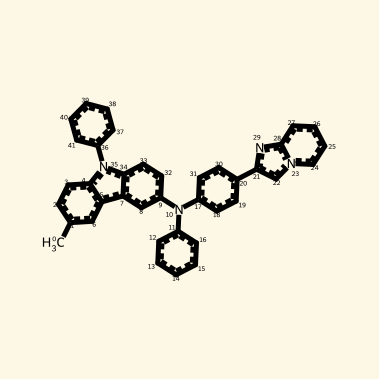 Cc1ccc2c(c1)c1cc(N(c3ccccc3)c3ccc(-c4cn5ccccc5n4)cc3)ccc1n2-c1ccccc1